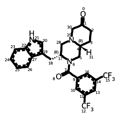 O=C1CC[C@@H]2CN(C(=O)c3cc(C(F)(F)F)cc(C(F)(F)F)c3)[C@H](Cc3c[nH]c4ccccc34)CN2C1